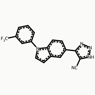 N#Cc1[nH]nnc1-c1ccc2c(ccn2-c2cccc(C(F)(F)F)c2)c1